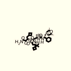 C[C@@H]1CN(C[C@@H](NC(=O)N[C@H](C(=O)N2C[C@]3(C[C@H]2C(=O)NC(CC2CCC2)C(=O)C(N)=O)C(C)(C)C32CCC2)C(C)(C)C)C2CCCCC2)C[C@H](C)O1